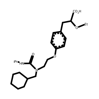 CCOC(Cc1ccc(OCCN(CC2CCCCC2)C(=O)NC(C)C)cc1)C(=O)O